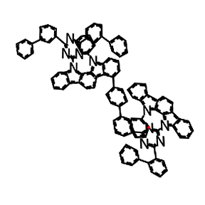 c1ccc(-c2cccc(-c3nc(-c4cccc(-c5ccccc5)c4)nc(-n4c5ccccc5c5ccc6c7c(-c8ccc(-c9cccc(-c%10nc(-c%11ccccc%11-c%11ccccc%11)nc(-n%11c%12ccccc%12c%12ccc%13c%14ccccc%14n(-c%14ccccc%14)c%13c%12%11)n%10)c9)cc8)cccc7n(-c7ccccc7)c6c54)n3)c2)cc1